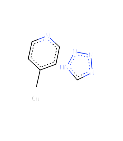 Cc1ccncc1.[Cu].c1nnn[nH]1